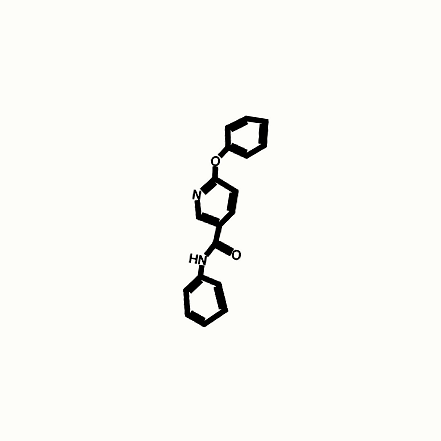 O=C(Nc1ccccc1)c1ccc(Oc2ccccc2)nc1